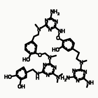 CNc1nc(N)nc(N(C)CCc2ccc(ONc3nc(N)nc(N(C)CCc4ccc(O)c(OCN(C)c5nc(NCc6ccc(O)c(O)c6)nc(N(C)C)n5)c4)n3)c(O)c2)n1